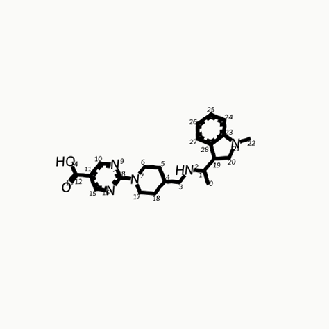 CC(NCC1CCN(c2ncc(C(=O)O)cn2)CC1)C1CN(C)c2ccccc21